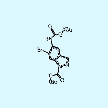 CC(C)(C)OC(=O)Nc1cc2cnn(C(=O)OC(C)(C)C)c2cc1Br